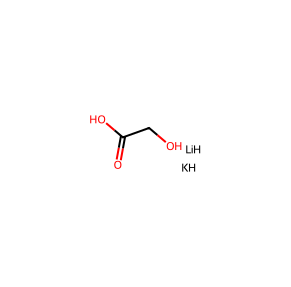 O=C(O)CO.[KH].[LiH]